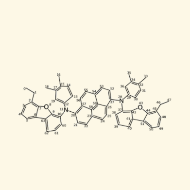 CCc1cccc2c1oc1c(N(c3ccc(C)c(C)c3)c3ccc4ccc5c(N(c6ccc(C)c(C)c6)c6cccc7c6oc6c(CC)cccc67)ccc6ccc3c4c65)cccc12